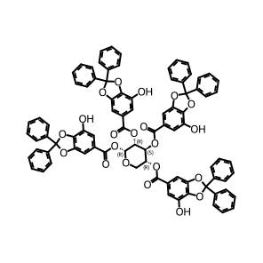 O=C(O[C@H]1OC[C@@H](OC(=O)c2cc(O)c3c(c2)OC(c2ccccc2)(c2ccccc2)O3)[C@H](OC(=O)c2cc(O)c3c(c2)OC(c2ccccc2)(c2ccccc2)O3)[C@H]1OC(=O)c1cc(O)c2c(c1)OC(c1ccccc1)(c1ccccc1)O2)c1cc(O)c2c(c1)OC(c1ccccc1)(c1ccccc1)O2